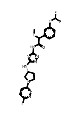 COC(C(=O)Nc1nnc(N[C@@H]2CCN(c3ccc(F)nn3)C2)s1)c1cccc(OC(F)F)c1